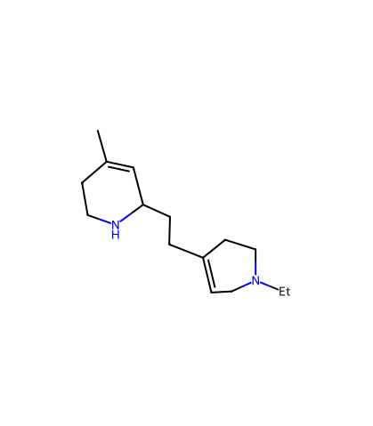 CCN1CC=C(CCC2C=C(C)CCN2)CC1